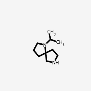 CC(C)N1CCCC12CCNC2